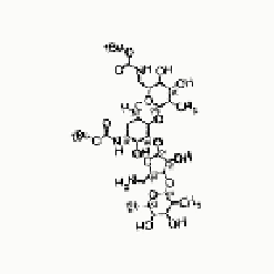 CC[C@@H]1O[C@H](OC2[C@@H](CN)O[C@@H](O[C@H]3C(O[C@H]4OC(CNC(=O)OC(C)(C)C)C(O)[C@H](O)C4C)C(C)C[C@@H](NC(=O)OC(C)(C)C)C3O)[C@H]2O)C(C)C(O)C1O